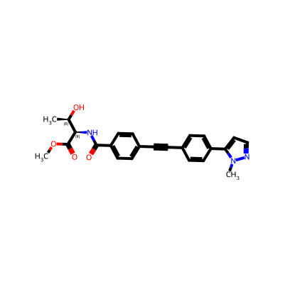 COC(=O)[C@H](NC(=O)c1ccc(C#Cc2ccc(-c3ccnn3C)cc2)cc1)[C@@H](C)O